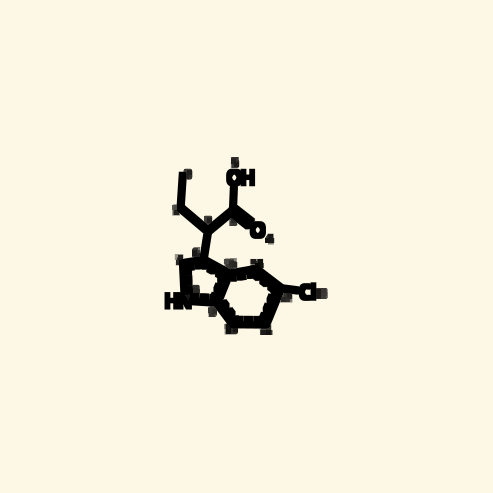 CCC(C(=O)O)c1c[nH]c2ccc(Cl)cc12